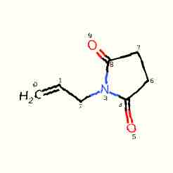 C=CCN1C(=O)CCC1=O